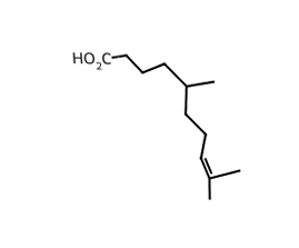 CC(C)=CCCC(C)CCCC(=O)O